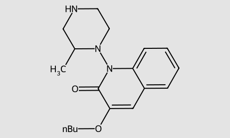 CCCCOc1cc2ccccc2n(N2CCNCC2C)c1=O